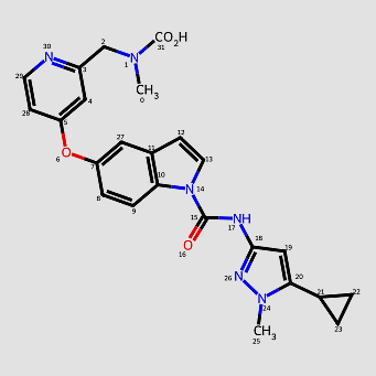 CN(Cc1cc(Oc2ccc3c(ccn3C(=O)Nc3cc(C4CC4)n(C)n3)c2)ccn1)C(=O)O